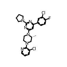 C[C@@H]1CN(c2ncccc2Cl)CCN1c1cc(-c2ccc(F)c(Cl)c2)nc(N2CCCC2)n1